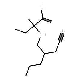 CCCC(CC#N)CNC(S)(CC)C(N)=O